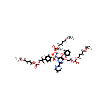 COc1ccccc1Oc1c(OCCOC(=O)OCCCCO[N+](=O)[O-])nc(-c2ncccn2)nc1N(COC(=O)OCCCCO[N+](=O)[O-])S(=O)(=O)c1ccc(C(C)(C)COC(=O)OCCCCO[N+](=O)[O-])cc1